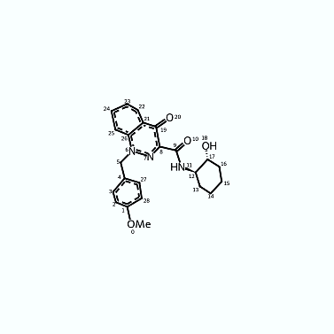 COc1ccc(Cn2nc(C(=O)N[C@@H]3CCCC[C@H]3O)c(=O)c3ccccc32)cc1